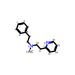 CC(=O)N(CCc1ccccc1)CCc1ccccn1